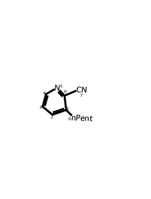 CCCCCc1cccnc1C#N